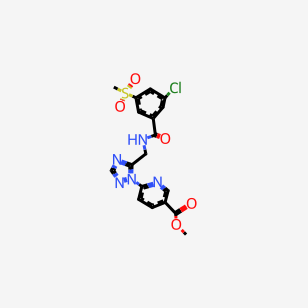 COC(=O)c1ccc(-n2ncnc2CNC(=O)c2cc(Cl)cc(S(C)(=O)=O)c2)nc1